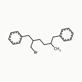 CC(CCC(CBr)Cc1ccccc1)Cc1ccccc1